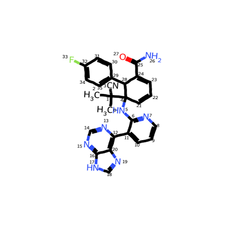 CC(C)(C#N)C1(Nc2ncccc2-c2ncnc3[nH]cnc23)C=CC=C(C(N)=O)C1c1ccc(F)cc1